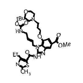 CCc1nc(C)sc1C(=O)Nc1nc2cc(C(=O)OC)cc(OCCCN3CCOCC3)c2n1C/C=C/CNC(=O)OC(C)(C)C